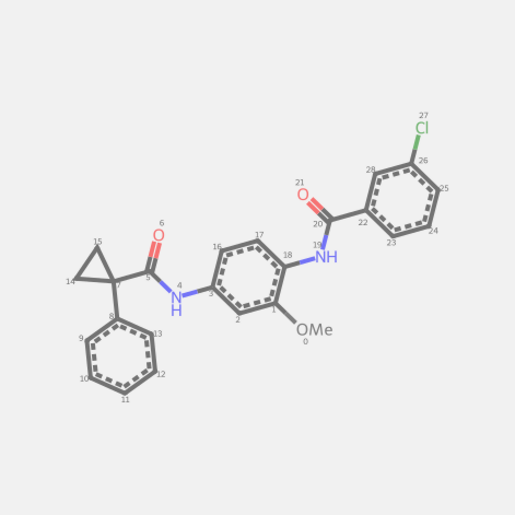 COc1cc(NC(=O)C2(c3ccccc3)CC2)ccc1NC(=O)c1cccc(Cl)c1